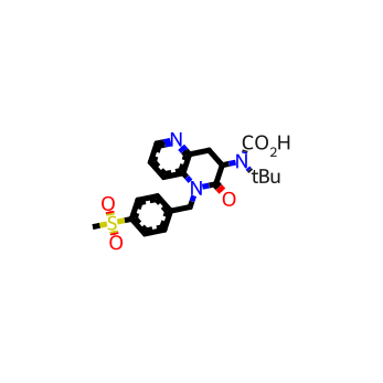 CC(C)(C)N(C(=O)O)C1Cc2ncccc2N(Cc2ccc(S(C)(=O)=O)cc2)C1=O